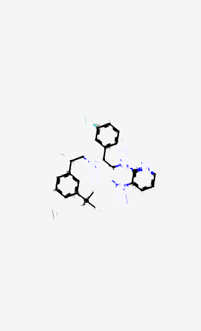 C[C@@H](CN[C@H](c1cccc(F)c1)[C@H]1CNc2cccnc2N1)c1cccc(C(C)(C)C(=O)O)c1